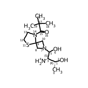 C[C@@H](O)[C@H](N)C(O)N1CC2(C1)SCCN2C(=O)C(C)(C)C